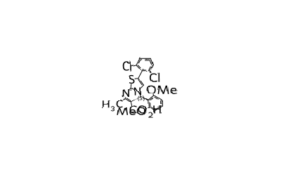 COc1cccc(OC)c1[C@H]1C(C(=O)O)=C(C)N=C2SC(c3c(Cl)cccc3Cl)=CN21